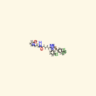 O=C(CCCCc1nnc(SCc2ccc(C(F)(F)F)cc2)n1-c1cccc(Cl)c1)NCCCN1CCCC1=O